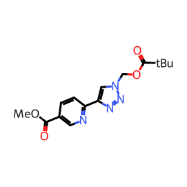 COC(=O)c1ccc(-c2cn(COC(=O)C(C)(C)C)nn2)nc1